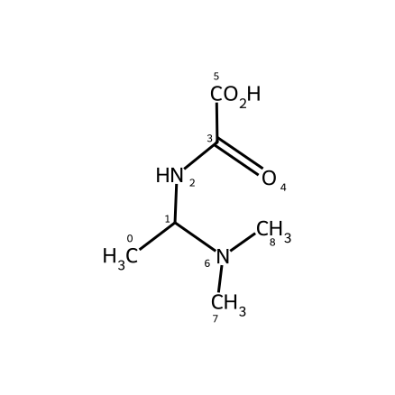 CC(NC(=O)C(=O)O)N(C)C